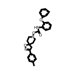 Cc1ccc(C2=NOC3(CCN(OC(=O)Nc4ccccc4Oc4ccccc4)CC3)C2)cc1